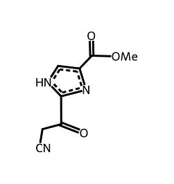 COC(=O)c1c[nH]c(C(=O)CC#N)n1